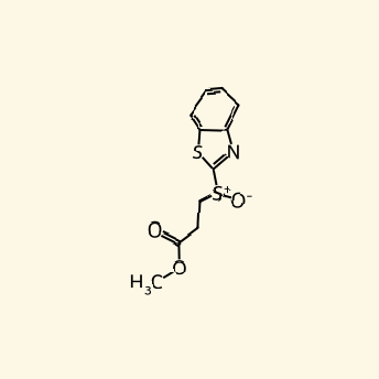 COC(=O)CC[S+]([O-])c1nc2ccccc2s1